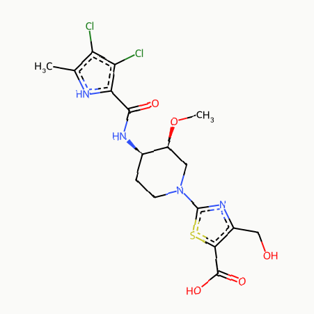 CO[C@H]1CN(c2nc(CO)c(C(=O)O)s2)CC[C@H]1NC(=O)c1[nH]c(C)c(Cl)c1Cl